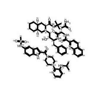 CC(C)(C)NC(=O)[C@@H]1C[C@@H]2CCCC[C@@H]2CN1C[C@@H](O)[C@H](Cc1ccccc1)NC(=O)[C@H](CC(N)=O)NC(=O)c1ccc2ccccc2n1.CC(C)Nc1cccnc1N1CCN(C(=O)c2cc3cc(NS(C)(=O)=O)ccc3[nH]2)CC1